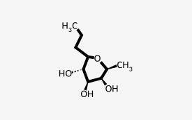 CCCC1O[C@@H](C)[C@@H](O)[C@@H](O)[C@@H]1O